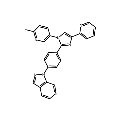 Cc1ccc(-n2cc(-c3ccccn3)nc2-c2ccc(-n3ncc4ccncc43)cc2)cn1